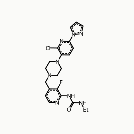 CCNC(=O)Nc1nccc(CN2CCN(c3ccc(-n4cccn4)nc3Cl)CC2)c1F